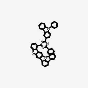 c1ccc(-c2nc(-c3ccc4c(c3)c3ccccc3n4-c3ccccc3)nc(-c3cccc4sc5cc6c7cccc8c9ccccc9n(c6cc5c34)c87)n2)cc1